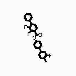 Cc1ccc(-c2ccc(OC(=O)c3ccc(-c4ccccc4)c(F)c3F)cc2)cc1F